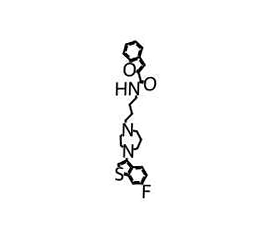 O=C(NCCCCN1CCCN(c2csc3cc(F)ccc23)CC1)c1cc2ccccc2o1